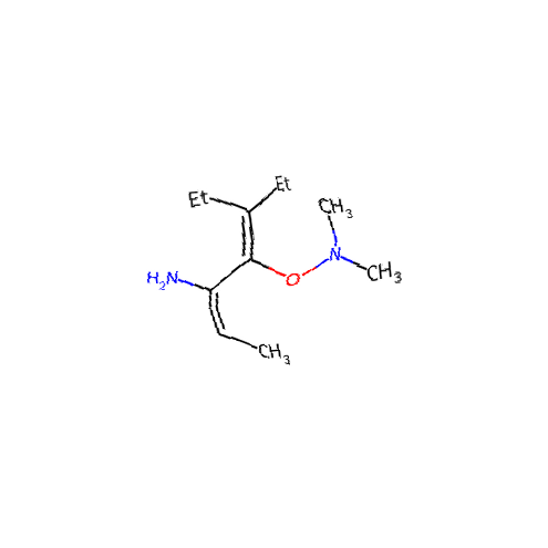 C/C=C(/N)C(ON(C)C)=C(CC)CC